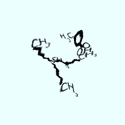 CCCCCCCC[N+](C)(CCCCCCCC)CCCCCCCC.Cc1ccc(C(=O)O)cc1